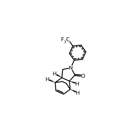 O=C1[C@H]2[C@@H](CN1c1cccc(C(F)(F)F)c1)[C@H]1C=C[C@@H]2CC1